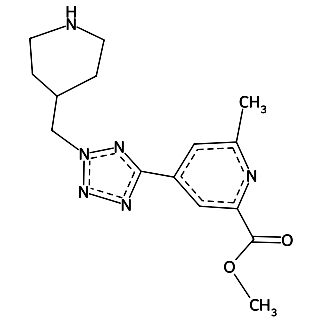 COC(=O)c1cc(-c2nnn(CC3CCNCC3)n2)cc(C)n1